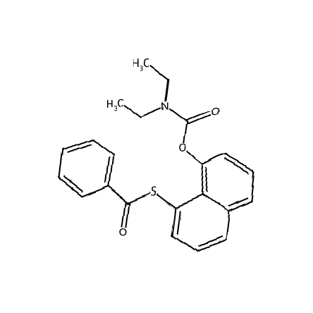 CCN(CC)C(=O)Oc1cccc2cccc(SC(=O)c3ccccc3)c12